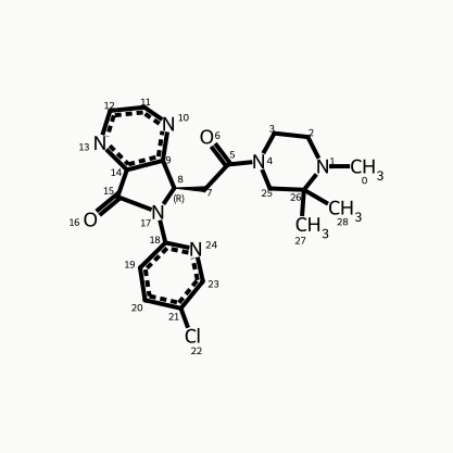 CN1CCN(C(=O)C[C@@H]2c3nccnc3C(=O)N2c2ccc(Cl)cn2)CC1(C)C